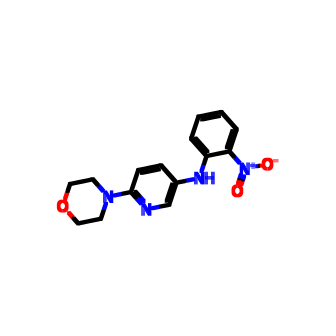 O=[N+]([O-])c1ccccc1Nc1ccc(N2CCOCC2)nc1